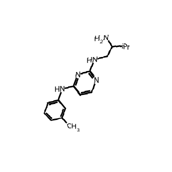 Cc1cccc(Nc2ccnc(NCC(N)C(C)C)n2)c1